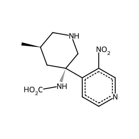 C[C@H]1CNC[C@@](NC(=O)O)(c2ccncc2[N+](=O)[O-])C1